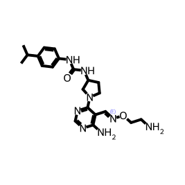 CC(C)c1ccc(NC(=O)NC2CCN(c3ncnc(N)c3/C=N/OCCN)C2)cc1